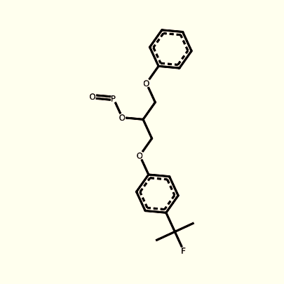 CC(C)(F)c1ccc(OCC(COc2ccccc2)OP=O)cc1